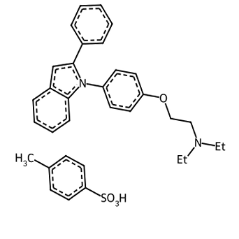 CCN(CC)CCOc1ccc(-n2c(-c3ccccc3)cc3ccccc32)cc1.Cc1ccc(S(=O)(=O)O)cc1